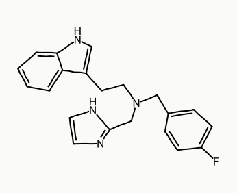 Fc1ccc(CN(CCc2c[nH]c3ccccc23)Cc2ncc[nH]2)cc1